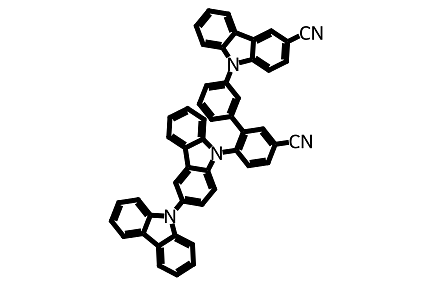 N#Cc1ccc(-n2c3ccccc3c3cc(-n4c5ccccc5c5ccccc54)ccc32)c(-c2cccc(-n3c4ccccc4c4cc(C#N)ccc43)c2)c1